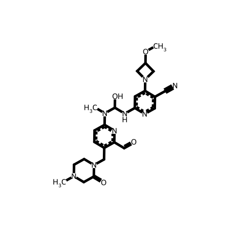 COC1CN(c2cc(NC(O)N(C)c3ccc(CN4CCN(C)CC4=O)c(C=O)n3)ncc2C#N)C1